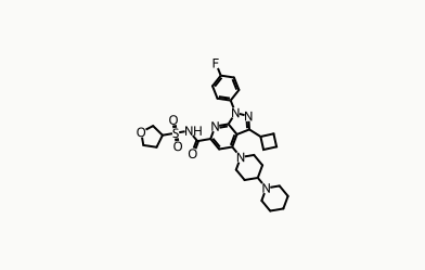 O=C(NS(=O)(=O)C1CCOC1)c1cc(N2CCC(N3CCCCC3)CC2)c2c(C3CCC3)nn(-c3ccc(F)cc3)c2n1